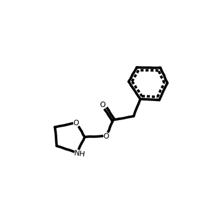 O=C(Cc1ccccc1)OC1NCCO1